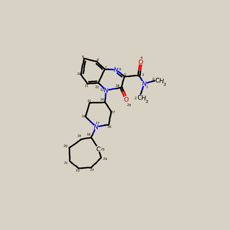 CN(C)C(=O)c1nc2ccccc2n(C2CCN(C3CCCCCCC3)CC2)c1=O